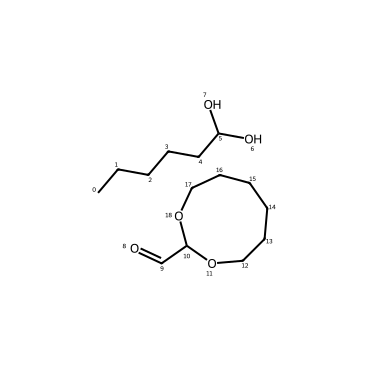 CCCCCC(O)O.O=CC1OCCCCCCO1